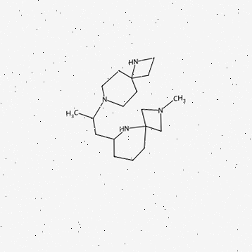 CC(CC1CCCC2(CN(C)C2)N1)N1CCC2(CCN2)CC1